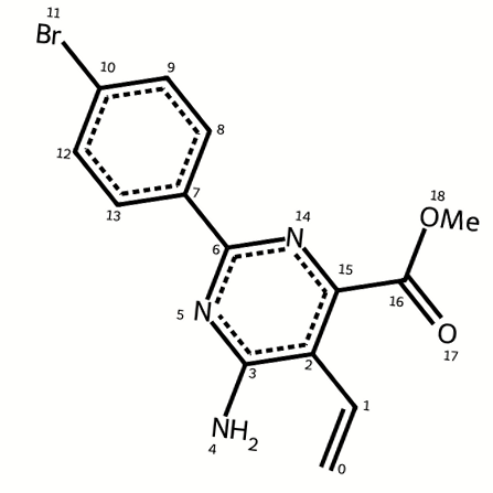 C=Cc1c(N)nc(-c2ccc(Br)cc2)nc1C(=O)OC